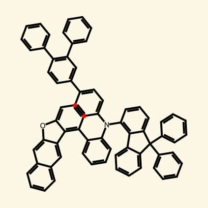 c1ccc(-c2ccc(-c3ccc(N(c4ccccc4-c4cccc5oc6cc7ccccc7cc6c45)c4cccc5c4-c4ccccc4C5(c4ccccc4)c4ccccc4)cc3)cc2-c2ccccc2)cc1